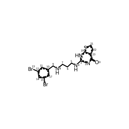 O=c1nc(NCCCNCc2cc(Br)cc(Br)c2)[nH]c2sccc12